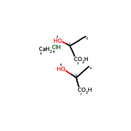 CC(O)C(=O)O.CC(O)C(=O)O.Cl.[CaH2]